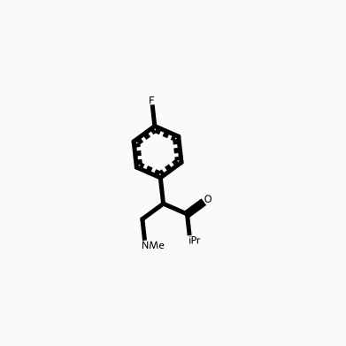 CNCC(C(=O)C(C)C)c1ccc(F)cc1